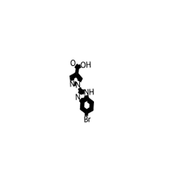 O=C(O)c1cnn(-c2nc3cc(Br)ccc3[nH]2)c1